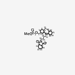 COC(Cl)COCc1ccc2c(c1)N(CCCCN1C(=O)c3ccccc3C1=O)c1ccccc1CC2